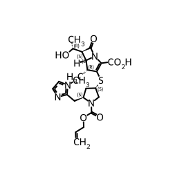 C=CCOC(=O)N1C[C@@H](SC2=C(C(=O)O)N3C(=O)[C@H]([C@@H](C)O)[C@H]3[C@H]2C)C[C@@H]1Cc1nccn1C